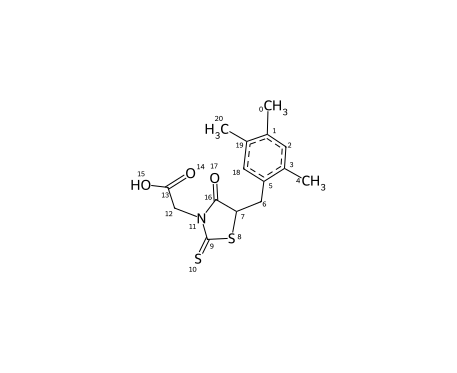 Cc1cc(C)c(CC2SC(=S)N(CC(=O)O)C2=O)cc1C